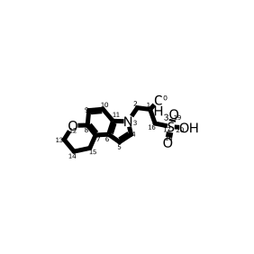 CC(Cn1ccc2c3c(ccc21)OCCC3)CS(=O)(=O)O